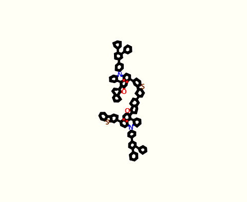 c1ccc(-c2ccc(-c3ccc(N(c4ccc(-c5ccc6sc7ccc(-c8ccc9c(ccc%10c9oc9cccc(-c%11ccccc%11N(c%11ccc(-c%12ccc(-c%13ccccc%13)c(-c%13ccccc%13)c%12)cc%11)c%11ccc(-c%12ccc%13c(c%12)sc%12ccccc%12%13)cc%11)c9%10)c8)cc7c6c5)cc4)c4ccccc4-c4cccc5oc6c7ccccc7ccc6c45)cc3)cc2-c2ccccc2)cc1